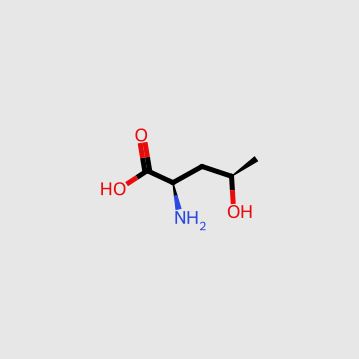 C[C@@H](O)C[C@@H](N)C(=O)O